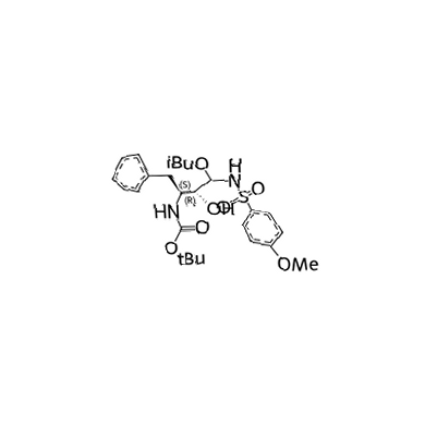 COc1ccc(S(=O)(=O)NC(OCC(C)C)[C@H](O)[C@H](Cc2ccccc2)NC(=O)OC(C)(C)C)cc1